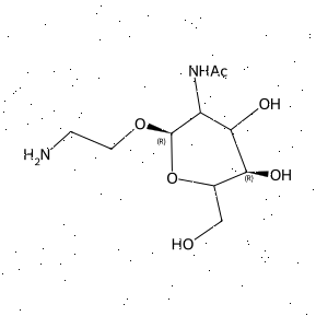 CC(=O)NC1C(O)[C@@H](O)C(CO)O[C@H]1OCCN